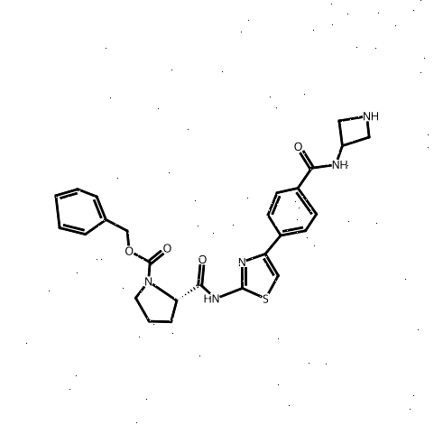 O=C(NC1CNC1)c1ccc(-c2csc(NC(=O)[C@@H]3CCCN3C(=O)OCc3ccccc3)n2)cc1